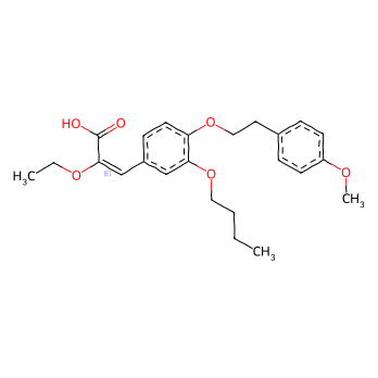 CCCCOc1cc(/C=C(/OCC)C(=O)O)ccc1OCCc1ccc(OC)cc1